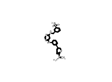 CN(C)c1ccc(-c2cccc(Nc3cc(NCc4cccc(S(N)(=O)=O)c4)ncn3)c2)cn1